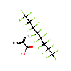 C=C(C)C(=O)O.FC(F)(F)C(F)(F)C(F)(F)C(F)(F)C(F)(F)C(F)(F)C(F)(F)C(F)(F)F